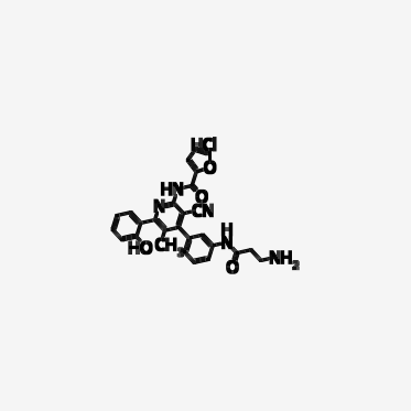 Cc1c(-c2ccccc2O)nc(NC(=O)c2ccco2)c(C#N)c1-c1cccc(NC(=O)CCN)c1.Cl